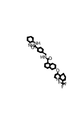 Nc1ccccc1NC(=O)c1ccc(CNC(=O)c2cccc3cc(Oc4ccnc5c(C(F)(F)F)cccc45)ccc23)cc1